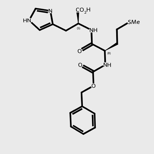 CSCC[C@@H](NC(=O)OCc1ccccc1)C(=O)N[C@@H](Cc1c[nH]cn1)C(=O)O